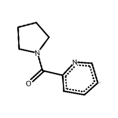 O=C(c1cc[c]cn1)N1CCCC1